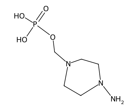 NN1CCN(COP(=O)(O)O)CC1